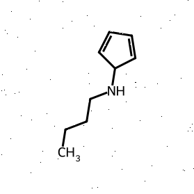 CCCCNC1C=CC=C1